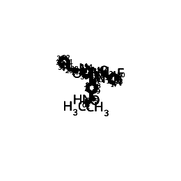 CC(C)NC(=O)C1CCC(n2/c(=N/C(=O)c3ccnc(F)c3)[nH]c3cnc(OCCN4CCCCC4)cc32)CC1